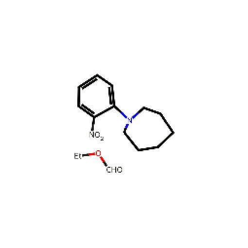 CCOC=O.O=[N+]([O-])c1ccccc1N1CCCCCC1